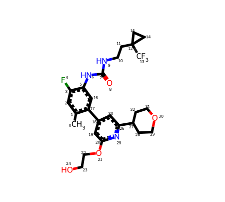 Cc1cc(F)c(NC(=O)NCCC2(C(F)(F)F)CC2)cc1-c1cc(OCCO)nc(C2CCOCC2)c1